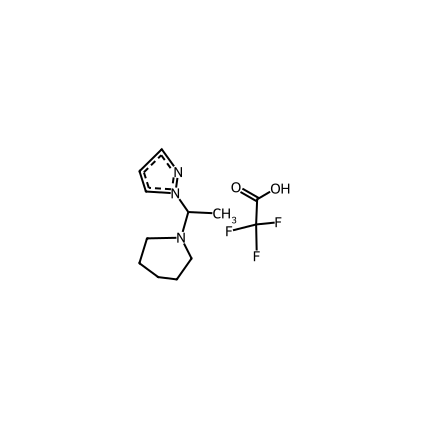 CC(N1CCCCC1)n1cccn1.O=C(O)C(F)(F)F